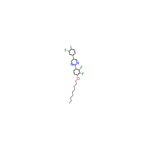 CCCCCCCCCOc1ccc(-c2ncc(-c3ccc(C)c(F)c3)cn2)c(F)c1F